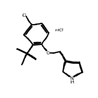 CC(C)(C)c1cc(Cl)ccc1OCC1CCNC1.Cl